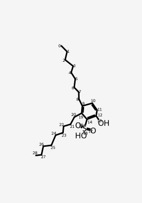 CCCCCCCCCc1ccc(O)c(S(=O)(=O)O)c1CCCCCCCCC